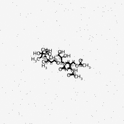 CCC(C)(O)P(=O)(O)O[C@](C)(CC)CCO[C@H]([C@H](O)CO)n1cc(COC(C)=O)c(NC(C)=O)nc1=O